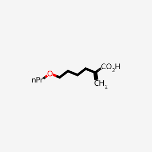 C=C(CCCCOCCC)C(=O)O